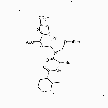 CCCCCOCN(C(=O)[C@@H](NC(=O)[C@H]1CCCCN1C)[C@@H](C)CC)[C@H](C[C@@H](OC(C)=O)c1nc(C(=O)O)cs1)C(C)C